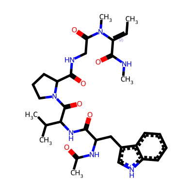 C/C=C(/C(=O)NC)N(C)C(=O)CNC(=O)C1CCCN1C(=O)C(NC(=O)C(Cc1c[nH]c2ccccc12)NC(C)=O)C(C)C